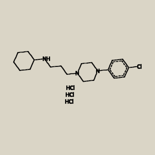 Cl.Cl.Cl.Clc1ccc(N2CCN(CCCNC3CCCCC3)CC2)cc1